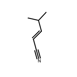 CC(C)/C=C/C#N